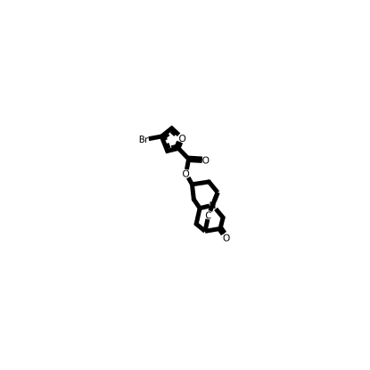 O=C(OC1CC2CC3CC(C1)N2CC3=O)c1cc(Br)co1